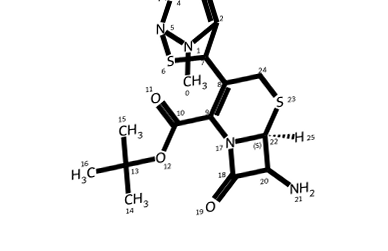 CN1C2=NNN1SC2C1=C(C(=O)OC(C)(C)C)N2C(=O)C(N)[C@@H]2SC1